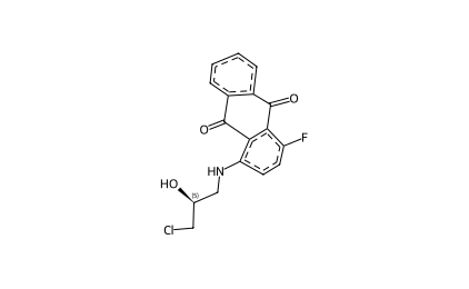 O=C1c2ccccc2C(=O)c2c(NC[C@H](O)CCl)ccc(F)c21